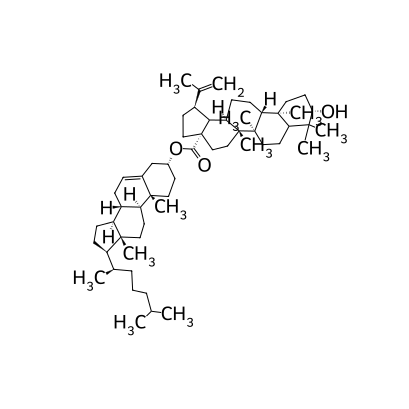 C=C(C)[C@@H]1CC[C@]2(C(=O)O[C@@H]3CC[C@@]4(C)C(=CC[C@H]5[C@@H]6CC[C@H]([C@H](C)CCCC(C)C)[C@@]6(C)CC[C@@H]54)C3)CC[C@]3(C)[C@H](CC[C@@H]4[C@@]5(C)CC[C@H](O)C(C)(C)C5CC[C@]43C)C12